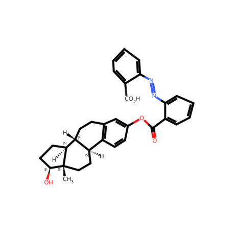 C[C@]12CC[C@@H]3c4ccc(OC(=O)c5ccccc5N=Nc5ccccc5C(=O)O)cc4CC[C@H]3[C@@H]1CC[C@@H]2O